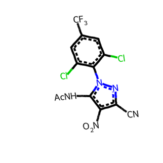 CC(=O)Nc1c([N+](=O)[O-])c(C#N)nn1-c1c(Cl)cc(C(F)(F)F)cc1Cl